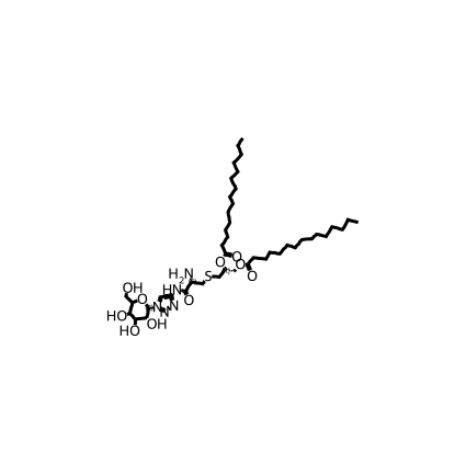 CCCCCCCCCCCCCCC(=O)OC[C@H](CSC[C@@H](N)C(=O)Nc1cn([C@@H]2OC(CO)C(O)C(O)C2O)nn1)OC(=O)CCCCCCCCCCCCCC